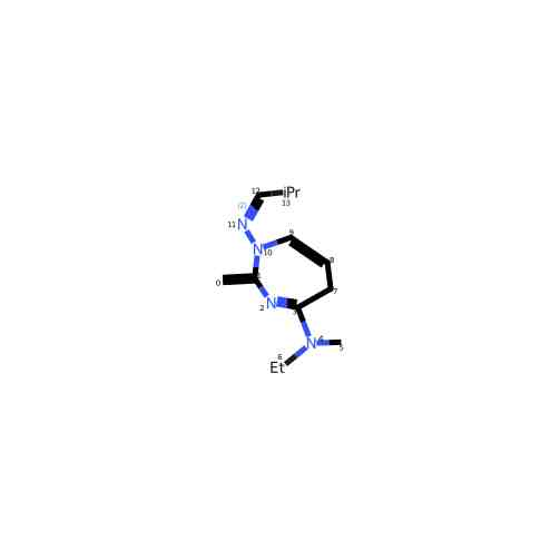 C=C1N=C(N(C)CC)CC=CN1/N=C\C(C)C